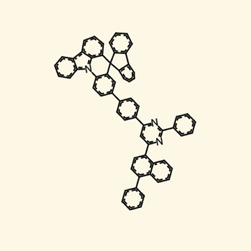 c1ccc(-c2nc(-c3ccc(-c4ccc5c(c4)C4(c6ccccc6-c6ccccc64)c4cccc6c7ccccc7n-5c46)cc3)cc(-c3ccc(-c4ccccc4)c4ccccc34)n2)cc1